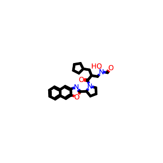 O=CN(O)CC(CC1CCCC1)C(=O)N1CCCC1c1nc2cc3ccccc3cc2o1